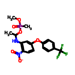 COP(C)(=O)OC(C)Nc1cc(Oc2ccc(C(F)(F)F)cc2)ccc1[N+](=O)[O-]